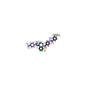 COc1cccc(C(=O)Nc2ccc(C(=O)N3CCC(F)(F)/C(=C\C(=O)N4CCC(N(C)C)CC4)c4ccccc43)cc2)c1.Cl